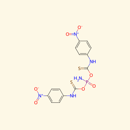 NP(=O)(OC(=S)Nc1ccc([N+](=O)[O-])cc1)OC(=S)Nc1ccc([N+](=O)[O-])cc1